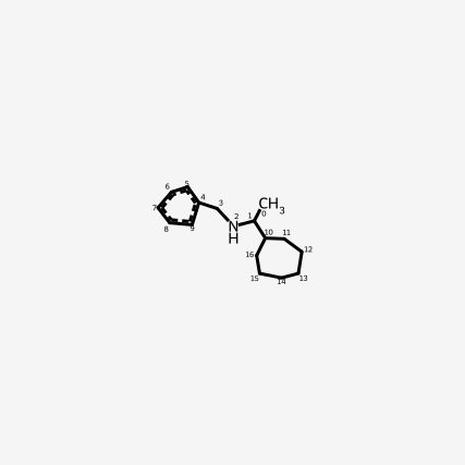 CC(NCc1ccccc1)C1CCCCCC1